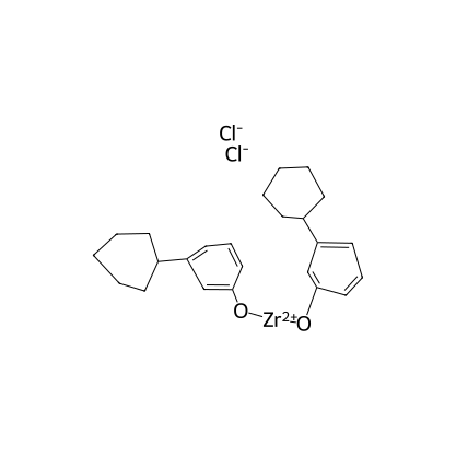 [Cl-].[Cl-].c1cc([O][Zr+2][O]c2cccc(C3CCCCC3)c2)cc(C2CCCCC2)c1